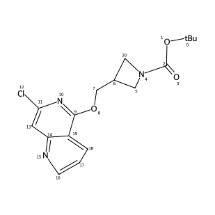 CC(C)(C)OC(=O)N1CC(COc2nc(Cl)cc3ncccc23)C1